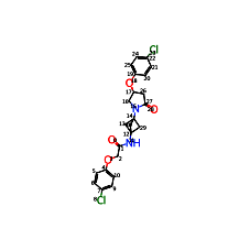 O=C(COc1ccc(Cl)cc1)NC12CC(N3C[C@@H](Oc4ccc(Cl)cc4)CC3=O)(C1)C2